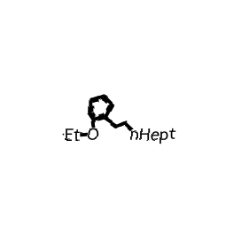 C[CH]Oc1ccccc1CCCCCCCCC